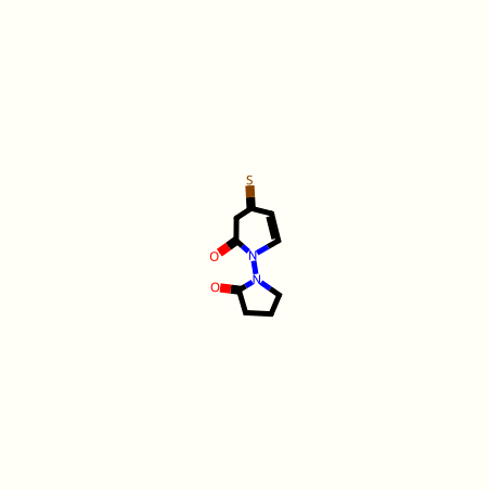 O=C1CC(=S)C=CN1N1CCCC1=O